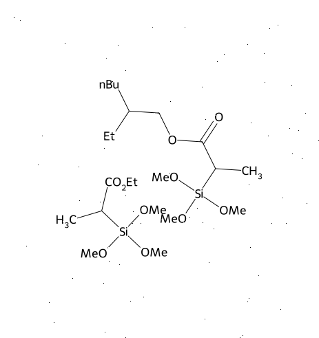 CCCCC(CC)COC(=O)C(C)[Si](OC)(OC)OC.CCOC(=O)C(C)[Si](OC)(OC)OC